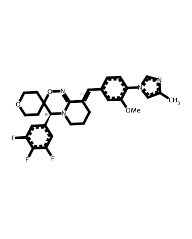 COc1cc(/C=C2\CCCN3C2=NOC2(CCOCC2)[C@@H]3c2cc(F)c(F)c(F)c2)ccc1-n1cnc(C)c1